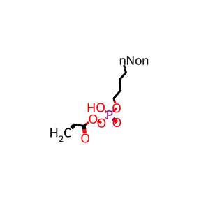 C=CC(=O)OOP(=O)(O)OCCCCCCCCCCCCC